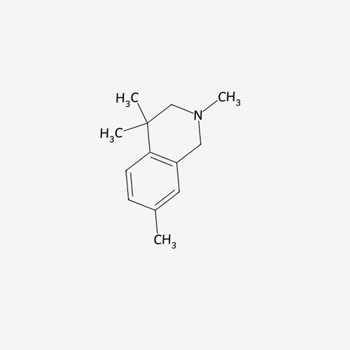 Cc1ccc2c(c1)CN(C)CC2(C)C